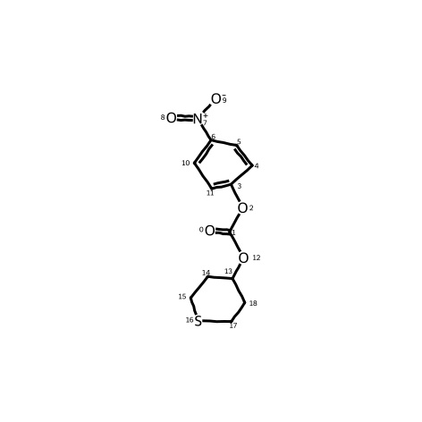 O=C(Oc1ccc([N+](=O)[O-])cc1)OC1CCSCC1